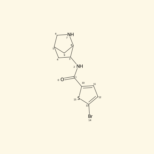 O=C(NC1CC2CNC1C2)c1ccc(Br)s1